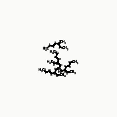 CCCCC(C)CC.CCCCC(CC)[CH2][SnH]([CH2]C(CC)CCCC)[CH2]C(CC)CCCC